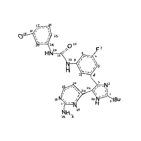 CC(C)(C)c1nc(-c2cc(F)cc(NC(=O)Nc3cccc(Cl)c3)c2)c(-c2ccnc(N)n2)[nH]1